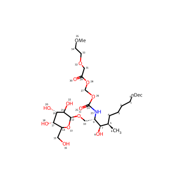 CCCCCCCCCCCCCC[C@@H](C)[C@@H](O)[C@H](CO[C@H]1OC(CO)[C@H](O)[C@H](O)C1O)NC(=O)OCOC(=O)COCCOC